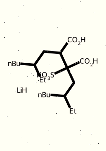 CCCCC(CC)CC(C(=O)O)C(CC(CC)CCCC)(C(=O)O)S(=O)(=O)O.[LiH]